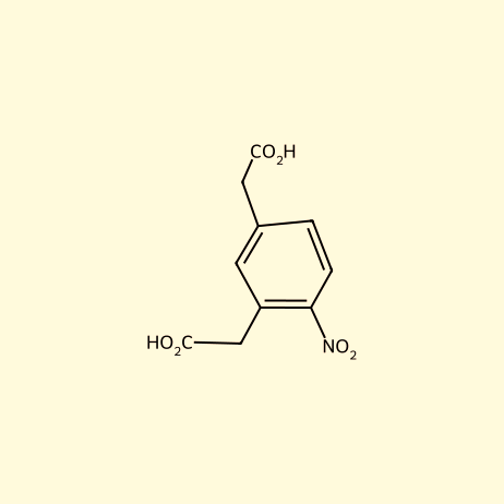 O=C(O)Cc1ccc([N+](=O)[O-])c(CC(=O)O)c1